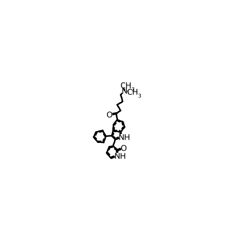 CN(C)CCCCC(=O)c1ccc2[nH]c(-c3ccc[nH]c3=O)c(-c3ccccc3)c2c1